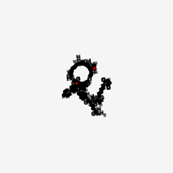 CO[C@H]1/C=C/O[C@@]2(C)Oc3c(C)c(O)c4c(=O)c(c5oc6cc(N7CCC(C)CC7)cc(OCc7ccc(NC(=O)[C@H](CCCNC(N)=O)NC(=O)[C@@H](NC(=O)CCCCCN8C(=O)C=CC8=O)C(C)C)cc7)c6nc-5c4c3C2=O)NC(=O)/C(C)=C\C=C\[C@H](C)[C@H](O)[C@@H](C)[C@@H](O)[C@@H](C)[C@H](OC(C)=O)[C@@H]1C